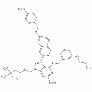 CNc1nc(OCc2cc(OCCO)ccn2)c2c(-c3ccc4ncc(OCc5ccc(OC)cc5)cc4c3)cn(COCC[Si](C)(C)C)c2n1